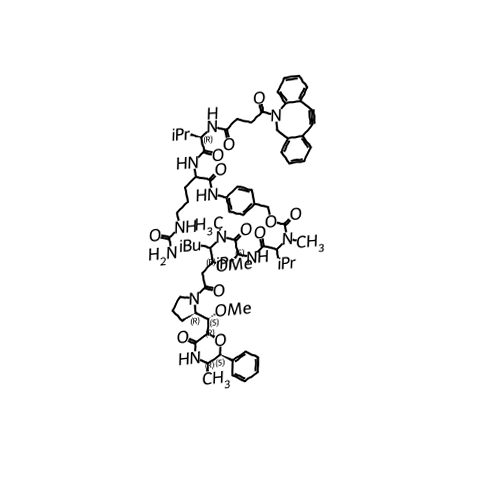 CCC(C)C([C@@H](CC(=O)N1CCC[C@@H]1[C@H](OC)[C@H]1O[C@@H](c2ccccc2)[C@@H](C)NC1=O)OC)N(C)C(=O)[C@@H](NC(=O)C(C(C)C)N(C)C(=O)OCc1ccc(NC(=O)C(CCCNC(N)=O)NC(=O)[C@H](NC(=O)CCC(=O)N2Cc3ccccc3C#Cc3ccccc32)C(C)C)cc1)C(C)C